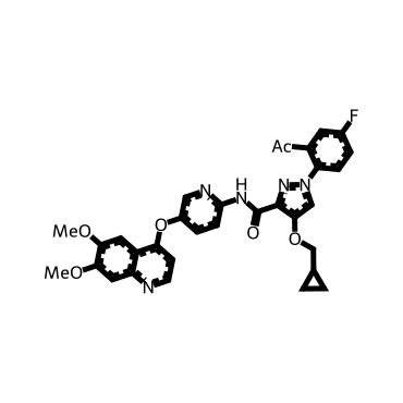 COc1cc2nccc(Oc3ccc(NC(=O)c4nn(-c5ccc(F)cc5C(C)=O)cc4OCC4CC4)nc3)c2cc1OC